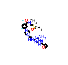 CN(CC[S+](C)[O-])C(=O)c1cc(N2CCN(CCNc3nc(N)n4nc(-c5ccco5)nc4n3)CC2)c(F)cc1F